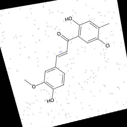 COc1cc(/C=C/C(=O)c2cc(Cl)c(C)cc2O)ccc1O